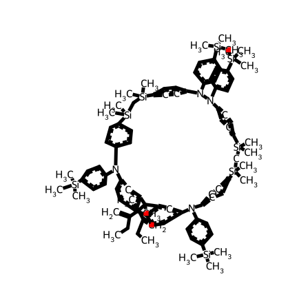 C=C(CC)C(C)(C(=C)CC)C1(C)c2cc3ccc2-c2ccc(cc21)N(c1ccc([Si](C)(C)C)cc1)c1ccc(cc1)[Si](C)(C)C[Si](C)(C)c1ccc(cc1)N(c1ccc([Si](C)(C)C)cc1)N(c1ccc([Si](C)(C)C)cc1)c1ccc(cc1)[Si](C)(C)C[Si](C)(C)c1ccc(cc1)N3c1ccc([Si](C)(C)C)cc1